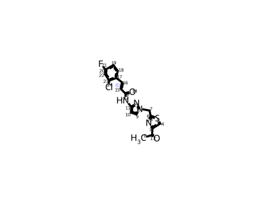 CC(=O)c1csc(Cn2ccc(NC(=O)/C=C/c3ccc(F)cc3Cl)n2)n1